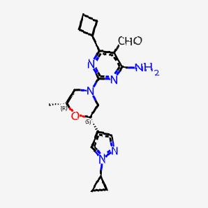 C[C@@H]1CN(c2nc(N)c(C=O)c(C3CCC3)n2)C[C@H](c2cnn(C3CC3)c2)O1